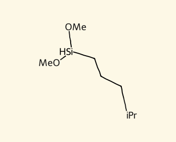 CO[SiH](CCCC(C)C)OC